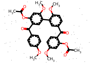 COc1ccc(C(=O)c2cc(-c3cc(C(=O)c4ccc(OC)cc4OC(C)=O)ccc3OC)c(OC)cc2OC(C)=O)cc1